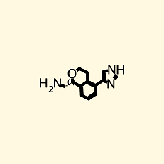 NC[C@@H]1OCCc2c(-c3c[nH]cn3)cccc21